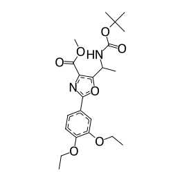 CCOc1ccc(-c2nc(C(=O)OC)c(C(C)NC(=O)OC(C)(C)C)o2)cc1OCC